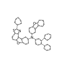 c1ccc(-c2nc3c(ccc4oc5ccc(N(c6ccc(-c7ccccc7)c(-c7ccccc7)c6)c6ccc7oc8ccccc8c7c6)cc5c43)s2)cc1